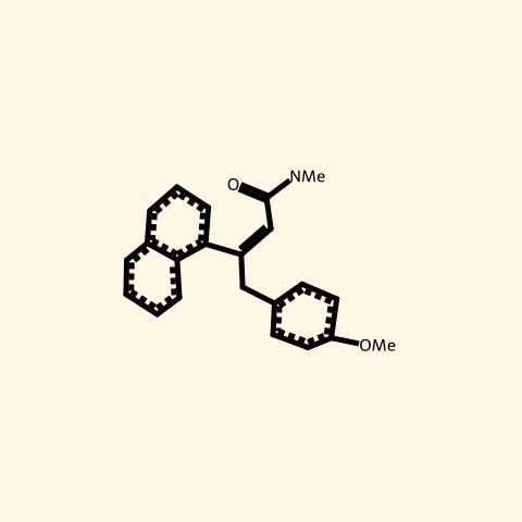 CNC(=O)C=C(Cc1ccc(OC)cc1)c1cccc2ccccc12